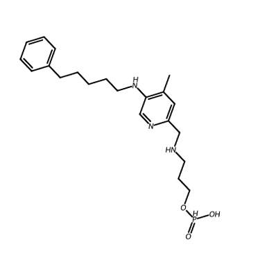 Cc1cc(CNCCCO[PH](=O)O)ncc1NCCCCCc1ccccc1